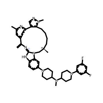 C=C1/N=C2\Nc3ccc(N4CCC(N(C)C5CCN(c6cc(F)cc(F)c6)CC5)CC4)cc3N2C[C@H](C)CCCCc2c(cnn2C)-c2cc1cc(C)n2